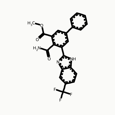 COC(=O)c1cc(-c2ccccc2)cc(-c2nc3cc(C(F)(F)F)ccc3[nH]2)c1C(N)=O